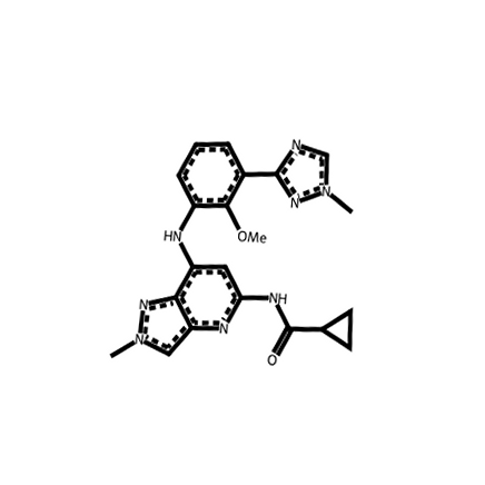 COc1c(Nc2cc(NC(=O)C3CC3)nc3cn(C)nc23)cccc1-c1ncn(C)n1